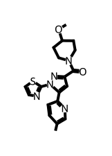 COC1CCN(C(=O)c2cc(-c3ccc(C)cn3)n(-c3nccs3)n2)CC1